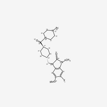 COc1cc2c(cc1F)n(C)c(=O)n2C[C@H]1CC[C@H](C(=O)N2CCN(C(C)=O)CC2)CC1